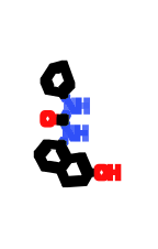 O=C(Nc1ccccc1)Nc1cccc2ccc(O)cc12